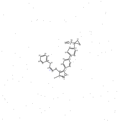 Cc1noc(-c2ccc(-c3ccc(C4(C(=O)O)CC4)cc3)cc2)c1C/C=C\Cc1ccccc1